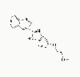 COCCOc1ccc2[nH]c(-c3cnc4ccccc4c3)nc2c1